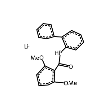 COc1cccc(OC)c1C(=O)Pc1ccccc1-c1ccccc1.[Li]